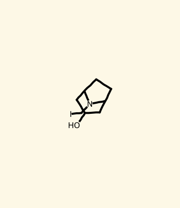 OC1CC2CCC(C1)N2CI